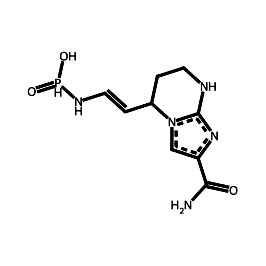 NC(=O)c1cn2c(n1)NCCC2/C=C/N[PH](=O)O